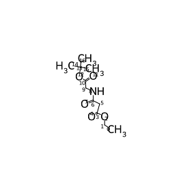 CCOC(=O)CC(=O)NCC(=O)OC(C)(C)C